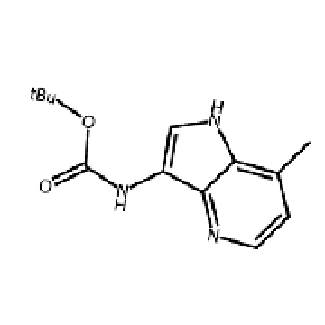 Cc1ccnc2c(NC(=O)OC(C)(C)C)c[nH]c12